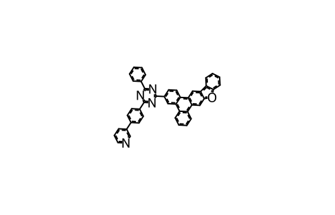 c1ccc(-c2nc(-c3ccc(-c4cccnc4)cc3)nc(-c3ccc4c(c3)c3ccccc3c3cc5oc6ccccc6c5cc43)n2)cc1